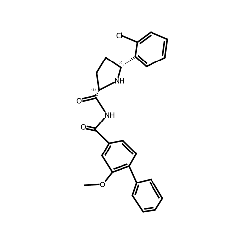 COc1cc(C(=O)NC(=O)[C@@H]2CC[C@H](c3ccccc3Cl)N2)ccc1-c1ccccc1